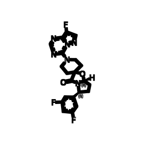 O=C1N2[C@@H](CC[C@H]2c2cc(F)cc(F)c2)OC12CCN(c1ncnc3c(F)cnn13)CC2